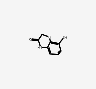 O=C1COc2c(S)cccc2N1